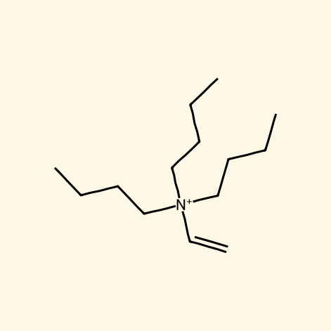 C=C[N+](CCCC)(CCCC)CCCC